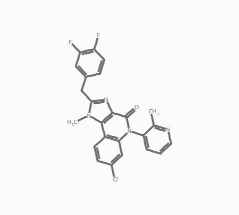 Cc1ncccc1-n1c(=O)c2nc(Cc3ccc(F)c(F)c3)n(C)c2c2ccc(Cl)cc21